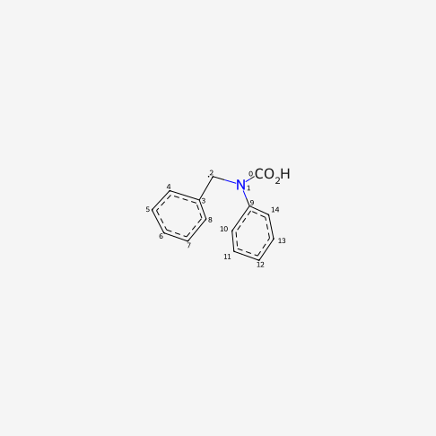 O=C(O)N([CH]c1ccccc1)c1ccccc1